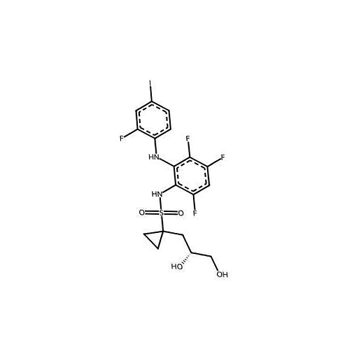 O=S(=O)(Nc1c(F)cc(F)c(F)c1Nc1ccc(I)cc1F)C1(C[C@@H](O)CO)CC1